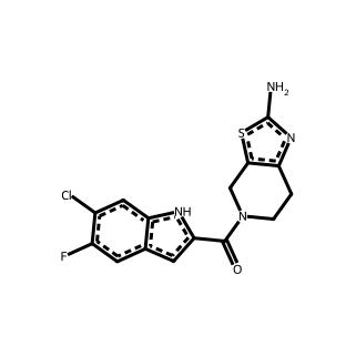 Nc1nc2c(s1)CN(C(=O)c1cc3cc(F)c(Cl)cc3[nH]1)CC2